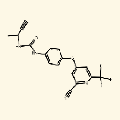 C#CC(C)NC(=O)Nc1ccc(Sc2cc(C#N)nc(C(F)(F)F)c2)cc1